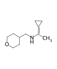 CC(NCC1CCOCC1)=C1CC1